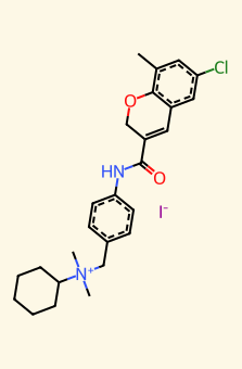 Cc1cc(Cl)cc2c1OCC(C(=O)Nc1ccc(C[N+](C)(C)C3CCCCC3)cc1)=C2.[I-]